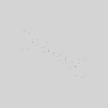 C=C(C)C(=O)Oc1ccc(-c2ccc(/C=C/c3ccc(-c4ccc(OC(O)C(=C)C)c(OC(=O)C(=C)C)c4)cc3)cc2F)cc1OC(=O)C(=C)C